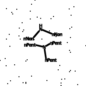 CCCCCCCCCNCCCCCCCCC.CCCCCN(CCCCC)CCCCC